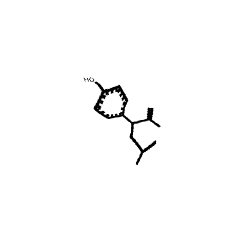 C=C(C)C(CC(C)C)c1ccc(O)cc1